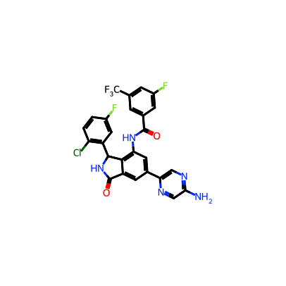 Nc1cnc(-c2cc(NC(=O)c3cc(F)cc(C(F)(F)F)c3)c3c(c2)C(=O)NC3c2cc(F)ccc2Cl)cn1